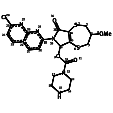 COC1CSC2=C(SC1)C(OC(=O)N1CCNCC1)N(c1ccc3ccc(Cl)nc3n1)C2=O